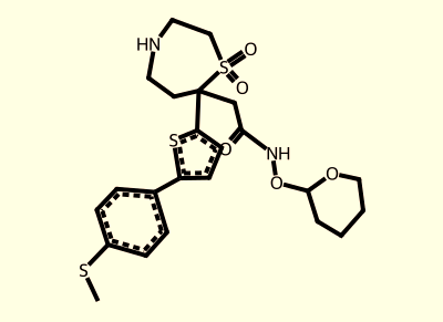 CSc1ccc(-c2ccc(C3(CC(=O)NOC4CCCCO4)CCNCCS3(=O)=O)s2)cc1